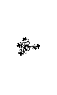 CC(C)(C)[Si](C)(C)OC[C@H]1OC(O)[C@H](O[Si](C)(C)C(C)(C)C)[C@@H](O[Si](C)(C)C(C)(C)C)[C@@H]1O[Si](C)(C)C(C)(C)C